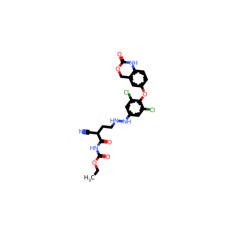 CCOC(=O)NC(=O)C(C#N)CCNNc1cc(Cl)c(Oc2ccc3c(c2)COC(=O)N3)c(Cl)c1